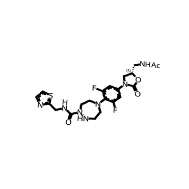 CC(=O)NC[C@H]1CN(c2cc(F)c(N3CCNN(C(=O)NCc4nccs4)CC3)c(F)c2)C(=O)O1